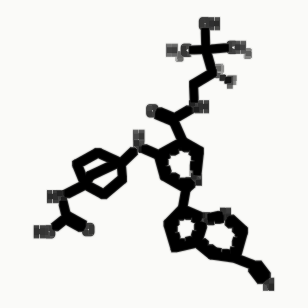 CC(C)(O)[C@H](F)CNC(=O)c1cnc(-c2ccc3cc(C#N)cnn23)cc1NC12CCC(NC(=O)O)(CC1)CC2